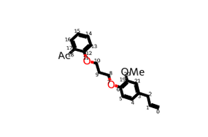 C=CCc1ccc(OCCCOc2ccccc2C(C)=O)c(OC)c1